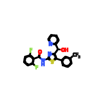 O=C(Nc1nc(C(O)c2ccccn2)c(-c2cccc(C(F)(F)F)c2)s1)c1c(F)cccc1F